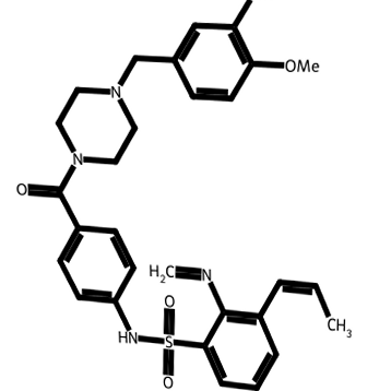 C=Nc1c(/C=C\C)cccc1S(=O)(=O)Nc1ccc(C(=O)N2CCN(Cc3ccc(OC)c(OC)c3)CC2)cc1